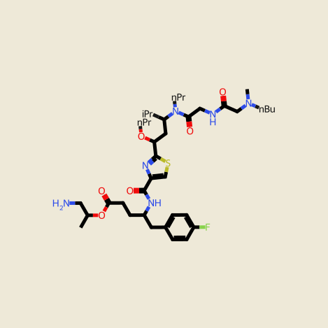 CCCCN(C)CC(=O)NCC(=O)N(CCC)C(CC(OCCC)c1nc(C(=O)NC(CCC(=O)OC(C)CN)Cc2ccc(F)cc2)cs1)C(C)C